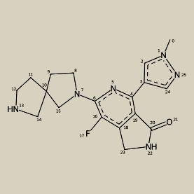 Cn1cc(-c2nc(N3CCC4(CCNC4)C3)c(F)c3c2C(=O)NC3)cn1